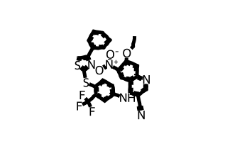 CCOc1cc2ncc(C#N)c(Nc3ccc(Sc4nc(-c5ccccc5)cs4)c(C(F)(F)F)c3)c2cc1[N+](=O)[O-]